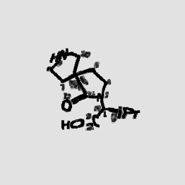 CC(C)[C@@H](C(=O)O)N1CC[C@]2(CCNC2)C1=O